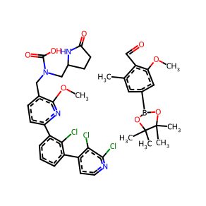 COc1cc(B2OC(C)(C)C(C)(C)O2)cc(C)c1C=O.COc1nc(-c2cccc(-c3ccnc(Cl)c3Cl)c2Cl)ccc1CN(CC1CCC(=O)N1)C(=O)O